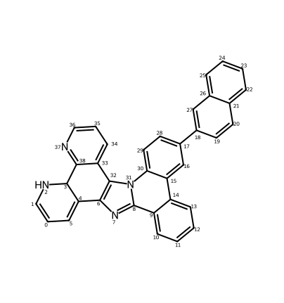 C1=CNC2C(=C1)c1nc3c4ccccc4c4cc(-c5ccc6ccccc6c5)ccc4n3c1-c1cccnc12